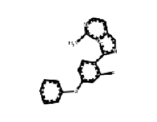 Nc1nccc2cnc(-c3ccc(Oc4ccccc4)cc3F)n12